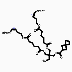 CCCCC/C=C\CCOC(=O)CCCCC(=O)OCC(CO)(COC(=O)CCCCC(=O)OCC/C=C\CCCCC)COC(=O)C1CC2(CCC2)C1